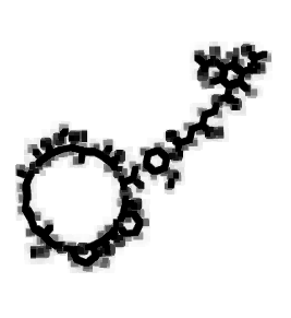 CO[C@@H]1C[C@H](C[C@@H](C)[C@@H]2CC(=O)[C@H](C)/C=C(\C)[C@@H](O)[C@@H](OC)C(=O)[C@H](C)C[C@H](C)/C=C/C=C/C=C(\C)[C@@H](O)C[C@@H]3CC[C@@H](C)[C@@](O)(O3)C(=O)C(=O)N3CCCC[C@H]3C(=O)O2)CC[C@H]1OC(=O)CCC(O)CCOC(=O)c1c(I)c(NC(C)=O)c(I)c(NC(C)=O)c1I